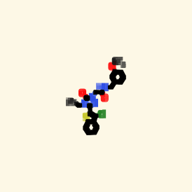 CC(C)Cn1c(-c2sc3ccccc3c2Cl)nn(CC(=O)NCc2cccc(OC(F)(F)F)c2)c1=O